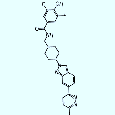 Cc1ccc(-c2ccc3cn(C4CCC(CNC(=O)c5cc(F)c(O)c(F)c5)CC4)nc3c2)nn1